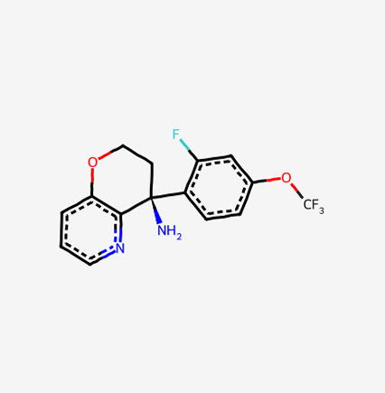 N[C@]1(c2ccc(OC(F)(F)F)cc2F)CCOc2cccnc21